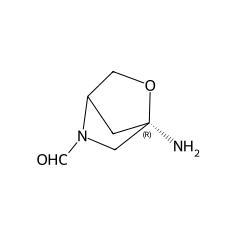 N[C@]12CC(CO1)N(C=O)C2